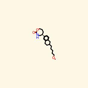 COCCCCCC1CCc2cc([C@@H]3CCCOC(=O)NC3)ccc2C1